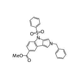 COC(=O)c1ccc2c(c1)c1cn(Cc3ccccc3)cc1n2S(=O)(=O)c1ccccc1